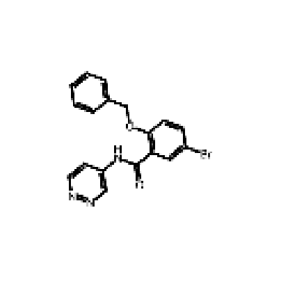 O=C(Nc1ccnnc1)c1cc(Br)ccc1OCc1ccccc1